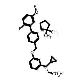 CCOc1ccc(F)c(-c2ccc(COc3cccc([C@@H](CC(=O)O)C4CC4)c3)cc2[C@@H]2CCCC2(C)C)c1